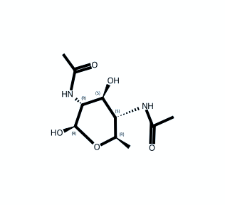 CC(=O)N[C@@H]1[C@@H](O)[C@H](NC(C)=O)[C@@H](C)O[C@H]1O